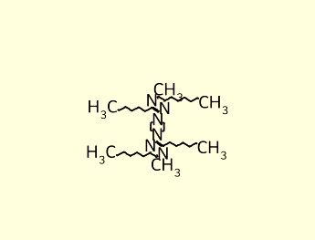 CCCCCCc1nc(N2CCN(c3nc(CCCCCC)c(C)nc3CCCCCC)CC2)c(CCCCCC)nc1C